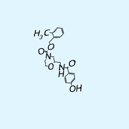 Cc1ccccc1COC(=O)N1CCOC(CNC(=O)c2ccc(O)cc2)C1